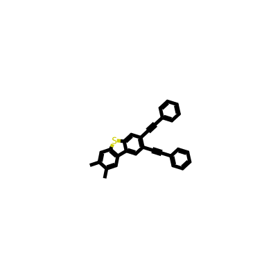 Cc1cc2sc3cc(C#Cc4ccccc4)c(C#Cc4ccccc4)cc3c2cc1C